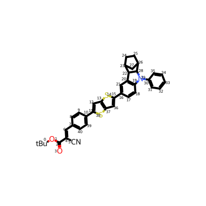 CC(C)(C)OC(=O)/C(C#N)=C/c1ccc(-c2cc3sc(-c4ccc5c(c4)C4C6CCC(C6)C4N5c4ccccc4)cc3s2)cc1